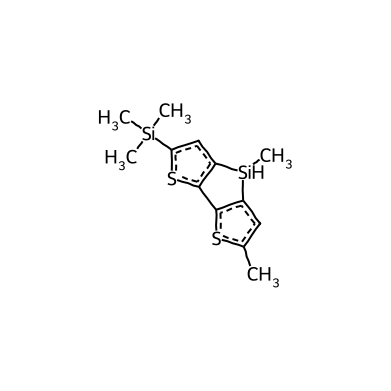 Cc1cc2c(s1)-c1sc([Si](C)(C)C)cc1[SiH]2C